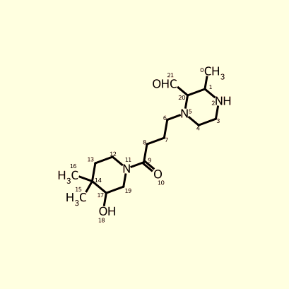 CC1NCCN(CCCC(=O)N2CCC(C)(C)C(O)C2)C1C=O